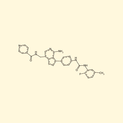 Cc1ccc(F)c(NC(=O)Nc2ccc(-c3csc4c(CNC(=O)c5ccncc5)cnc(N)c34)cc2)c1